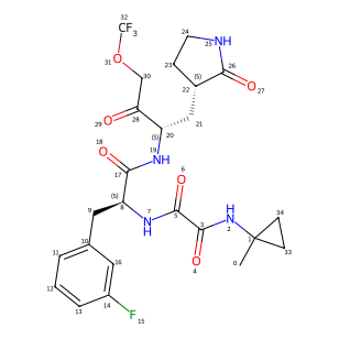 CC1(NC(=O)C(=O)N[C@@H](Cc2cccc(F)c2)C(=O)N[C@@H](C[C@@H]2CCNC2=O)C(=O)COC(F)(F)F)CC1